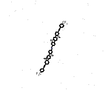 Cn1c2cc(C#Cc3ccc(C(F)(F)F)cc3)ccc2c2cc3c(cc21)c1ccc(/C=C/c2ccc4c5cc6c(cc5n(C)c4c2)c2ccc(C#Cc4ccc(C(F)(F)F)cc4)cc2n6C)cc1n3C